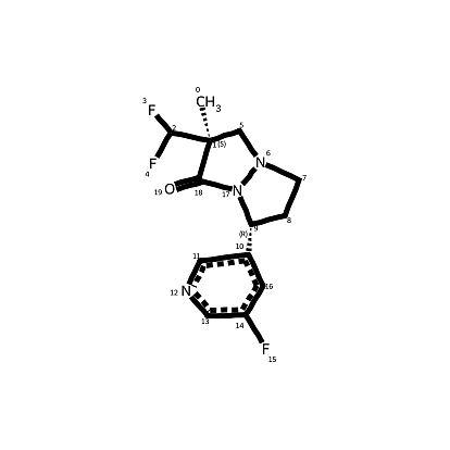 C[C@]1(C(F)F)CN2CC[C@H](c3cncc(F)c3)N2C1=O